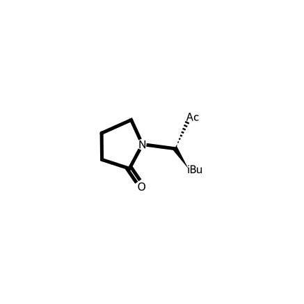 CC[C@H](C)[C@@H](C(C)=O)N1CCCC1=O